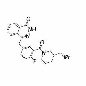 CC(C)CC1CCCN(C(=O)c2cc(Cc3n[nH]c(=O)c4ccccc34)ccc2F)C1